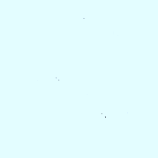 CC(Br)c1cc([N+](=O)[O-])c[n+]([O-])c1